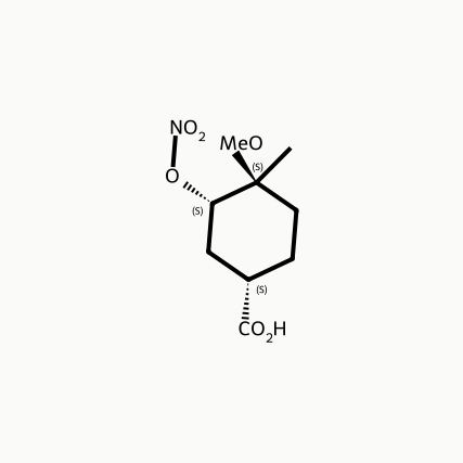 CO[C@@]1(C)CC[C@H](C(=O)O)C[C@@H]1O[N+](=O)[O-]